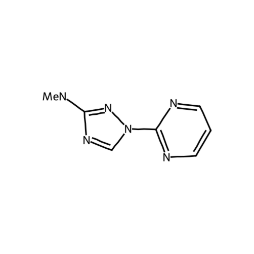 CNc1ncn(-c2ncccn2)n1